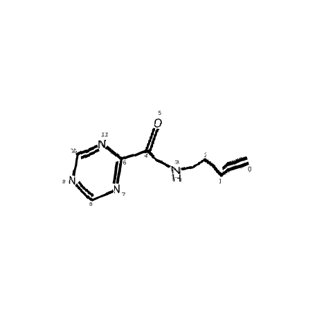 C=CCNC(=O)c1ncncn1